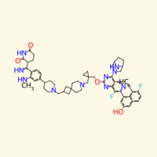 C#Cc1c(F)ccc2cc(O)cc(-c3ncc4c(N5CC6CCC(C5)N6)nc(OCC5(CN6CCC7(CC6)CC(CN6CCC(c8ccc(C(=N)C9CCC(=O)NC9=O)c(NC)c8)CC6)C7)CC5)nc4c3F)c12